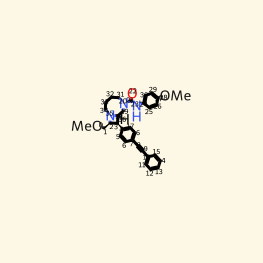 COC[C@@H]1[C@H](c2ccc(C#Cc3ccccc3)cc2)[C@@H]2CN(C(=O)Nc3ccc(OC)cc3)CCCCN12